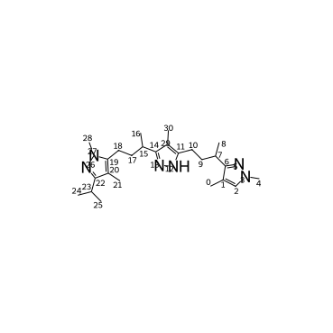 Cc1cn(C)nc1C(C)CCc1[nH]nc(C(C)CCc2c(C)c(C(C)C)nn2C)c1C